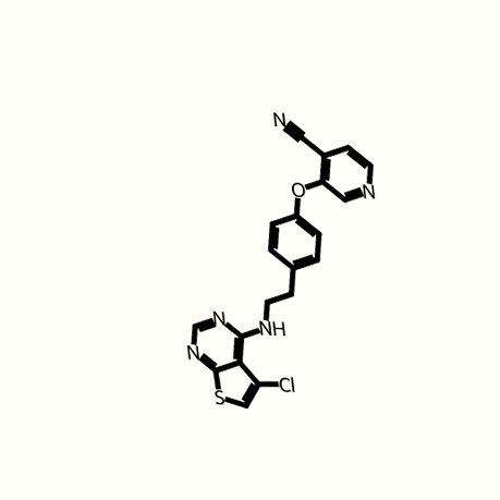 N#Cc1ccncc1Oc1ccc(CCNc2ncnc3scc(Cl)c23)cc1